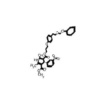 COC(=O)C1=C(C)NC(C)=C(C(=O)OCCCOc2ccc(CCOCOC3CCCCC3)cc2)[C@@H]1c1cccc([N+](=O)[O-])c1